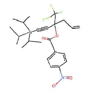 C=CCC(C#C[Si](C(C)C)(C(C)C)C(C)C)(OC(=O)c1ccc([N+](=O)[O-])cc1)C(F)(F)F